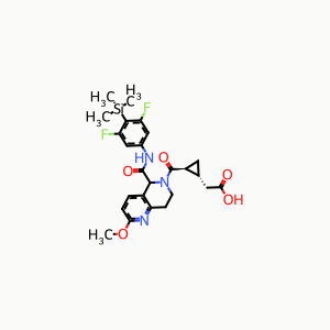 COc1ccc2c(n1)CCN(C(=O)[C@H]1C[C@@H]1CC(=O)O)C2C(=O)Nc1cc(F)c([Si](C)(C)C)c(F)c1